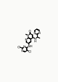 CC(Nc1cc(=O)n(C)c2ncc(Nc3nc(Cl)ncc3Cl)cc12)c1ncccn1